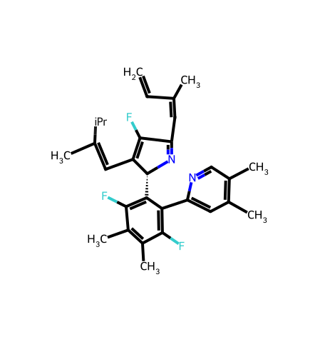 C=C/C(C)=C\C1=N[C@H](c2c(F)c(C)c(C)c(F)c2-c2cc(C)c(C)cn2)C(/C=C(/C)C(C)C)=C1F